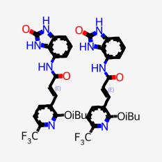 CC(C)COc1nc(C(F)(F)F)ccc1/C=C/C(=O)Nc1cccc2[nH]c(=O)[nH]c12.CC(C)COc1nc(C(F)(F)F)ccc1/C=C/C(=O)Nc1cccc2[nH]c(=O)[nH]c12